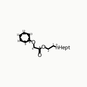 CCCCCCCCCOC(=O)COc1ccccc1